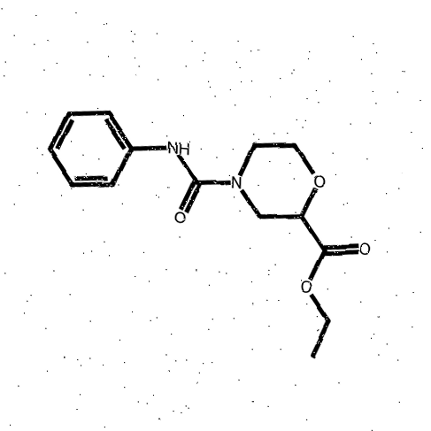 CCOC(=O)C1CN(C(=O)Nc2ccccc2)CCO1